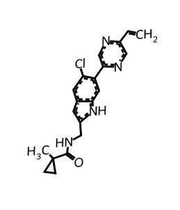 C=Cc1cnc(-c2cc3[nH]c(CNC(=O)C4(C)CC4)cc3cc2Cl)cn1